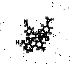 CC=CN1C[C@H](C#N)C[C@H]1COc1c(N)ncnc1-c1cc(F)cc(NC(=O)c2ccc(C3CC3)cc2F)c1C